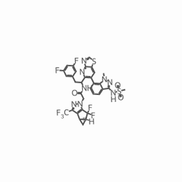 Cn1nc(NS(C)(=O)=O)c2cccc(-c3cc4scnc4nc3C(Cc3cc(F)cc(F)c3)NC(=O)Cn3nc(C(F)(F)F)c4c3C(F)(F)[C@@H]3CC43)c21